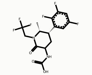 C[C@@H]1[C@H](c2cc(F)cc(F)c2F)CC(NC(=O)O)C(=O)N1CC(F)(F)F